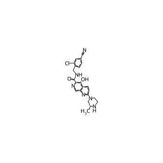 C[C@H]1CN(c2ccc3c(O)c(C(=O)NCc4ccc(C#N)cc4Cl)ncc3n2)CCN1